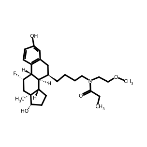 CCC(=O)N(CCCC[C@@H]1Cc2cc(O)ccc2[C@@H]2[C@@H]1[C@@H]1CC[C@H](O)[C@@]1(C)C[C@@H]2F)CCOC